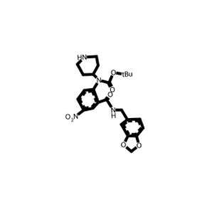 CC(C)(C)OC(=O)N(c1ccc([N+](=O)[O-])cc1C(=O)NCc1ccc2c(c1)OCO2)C1CCNCC1